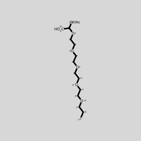 CC(=O)NC(OCCOCCOCCOCCOCCI)C(=O)O